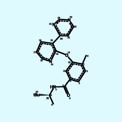 Cc1ccc(C(=O)N[C@H](C)C(C)(C)C)cc1Oc1ncccc1-c1ccncn1